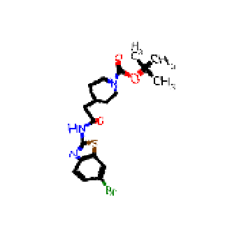 CC(C)(C)OC(=O)N1CCC(CC(=O)Nc2nc3ccc(Br)cc3s2)CC1